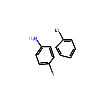 CCc1ccccc1.Nc1ccc(I)cc1